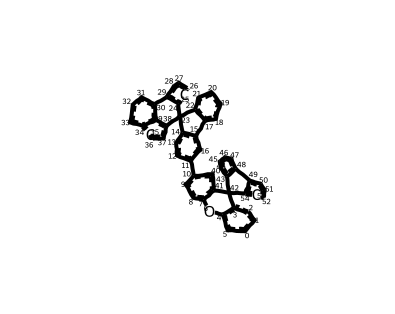 c1ccc2c(c1)Oc1ccc(-c3ccc4c(c3)-c3ccccc3C43c4ccccc4-c4cccc5cccc3c45)cc1C21c2ccccc2-c2ccccc21